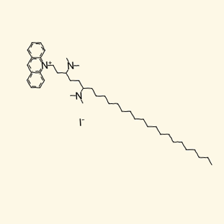 CCCCCCCCCCCCCCCCCCCCC(CCC(CC[n+]1c2ccccc2cc2ccccc21)N(C)C)N(C)C.[I-]